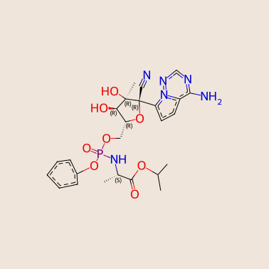 CC(C)OC(=O)[C@H](C)NP(=O)(OC[C@H]1O[C@@](C#N)(c2ccc3c(N)ncnn23)[C@](C)(O)[C@@H]1O)Oc1ccccc1